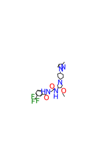 CCO[C@H]1CN(C2CCC(n3ccc(C)n3)CC2)C[C@@H]1NC(=O)CNC(=O)c1cccc(C(F)(F)F)c1